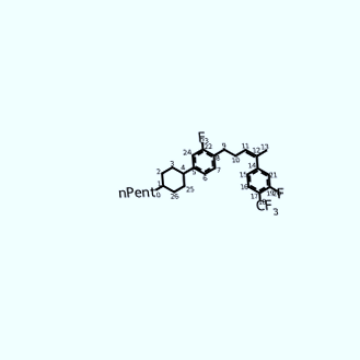 CCCCCC1CCC(c2ccc(CCC=C(C)c3ccc(C(F)(F)F)c(F)c3)c(F)c2)CC1